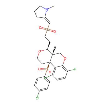 CN1CCC/C1=C\S(=O)(=O)CC[C@@H]1OCC[C@@]2(S(=O)(=O)c3ccc(Cl)cc3)c3c(F)ccc(F)c3OC[C@@H]12